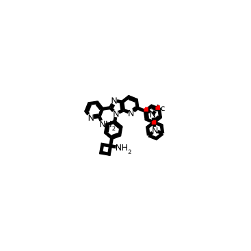 CC(=O)N(C)C1CC2CC(C1)N2c1cccc(-c2ccc3nc(-c4cccnc4N)n(-c4ccc(C5(N)CCC5)cc4)c3n2)c1